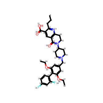 CCCc1nc2c(cc1C(=O)O)C(=O)N(C1CCN(Cc3cc(OCC)c(-c4ccc(F)cc4F)c(OCC)c3)CC1)CC2